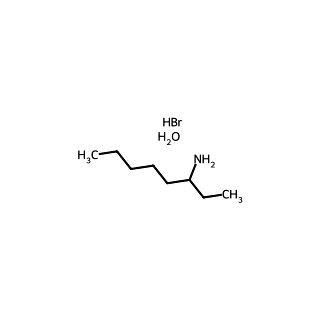 Br.CCCCCC(N)CC.O